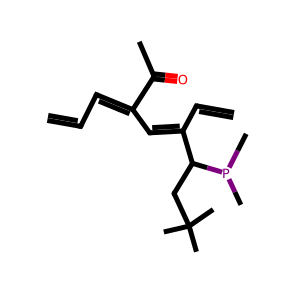 C=C/C=C(\C=C(/C=C)C(CC(C)(C)C)P(C)C)C(C)=O